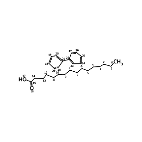 CCCCCCCCCCCCCCCC(=O)O.c1ccc(-c2ccccc2)cc1